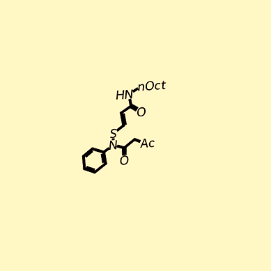 CCCCCCCCNC(=O)C=CSN(C(=O)CC(C)=O)c1ccccc1